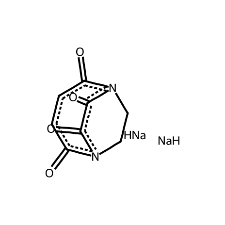 O=c1ccc(=O)n2c(=O)c(=O)n1CC2.[NaH].[NaH]